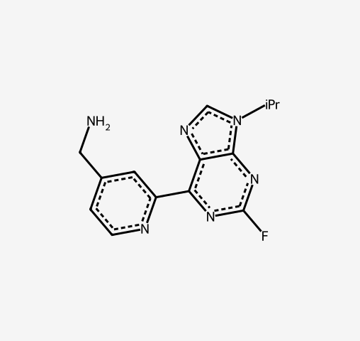 CC(C)n1cnc2c(-c3cc(CN)ccn3)nc(F)nc21